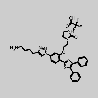 NCCCCc1cn(-c2ccc(-c3nc(-c4ccccc4)c(-c4ccccc4)s3)c(OCCN3CCNC3=O)c2)nn1.O=C(O)C(F)(F)F